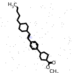 CCCCCC1CCC(/C=C/c2ccc(C3CCC(C(=O)OC)CC3)cc2)CC1